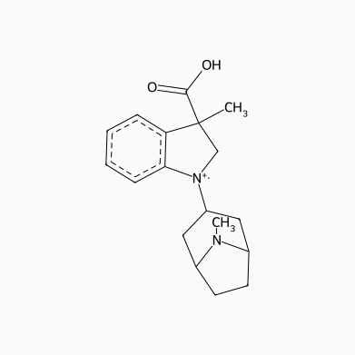 CN1C2CCC1CC([N+]1CC(C)(C(=O)O)c3ccccc31)C2